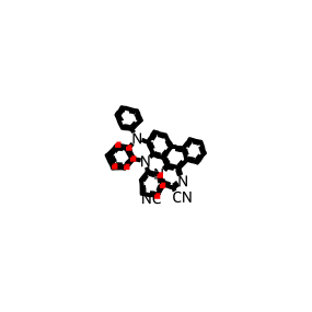 N#Cc1nc2c3ccccc3c3ccc(N(c4ccccc4)c4ccccc4)c(N(c4ccccc4)c4ccccc4)c3c2nc1C#N